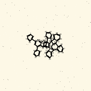 c1ccc(-c2cc(-c3ccccc3)c3cc(-n4c5ccccc5c5c6ccccc6c6c(c54)C4(c5ccccc5-c5ccccc54)c4ccccc4-6)cnc3n2)cc1